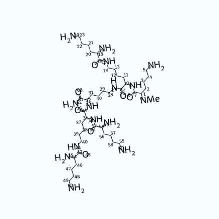 CNC(CCCCN)C(=O)NC(CCCCNC(=O)C(N)CCCCN)C(=O)NCCCCC(NC(=O)C(CCCCNC(=O)C(N)CCCCN)NC(=O)C(N)CCCCN)C(N)=O